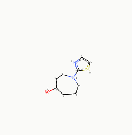 OC1CCCN(c2nccs2)CC1